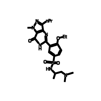 CCCc1nn(C)c2c(=O)[nH]c(-c3cc(S(=O)(=O)NC(C)CN(C)C)ccc3OCC)nc12